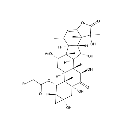 CC(=O)O[C@H]1C[C@H]2[C@H]([C@@H]3[C@@H](O)[C@@H]4[C@H]([C@H](C)C=C5OC(=O)[C@@](C)(O)[C@@]54C)[C@]31C)[C@@H](O)C(=O)[C@@]1(O)C[C@@]3(O)C[C@@H]3[C@H](OC(=O)CC(C)C)[C@]21C